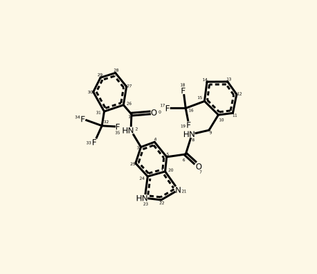 O=C(Nc1cc(C(=O)NCc2ccccc2C(F)(F)F)c2nc[nH]c2c1)c1ccccc1C(F)(F)F